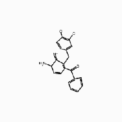 N=C1C(Cc2ccc(Cl)c(Cl)c2)=C(C(=O)c2ccccc2)C=CC1N